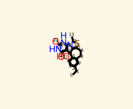 CCc1ccc2c(c1)CCc1sc(C)nc1C2(O)c1c[nH]c(=O)[nH]c1=O